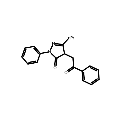 CCCC1=NN(c2ccccc2)C(=O)C1CC(=O)c1ccccc1